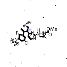 C=C(/C(=C\N(C)C(C)C)c1ccnc(NC[C@H](C)NC(=O)OC)n1)c1cc(Cl)cc(NS(C)(=O)=O)c1F